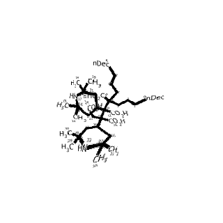 CCCCCCCCCCCCCC(CCCCCCCCCCCCC)(C(=O)O)C(C(=O)O)(C1CC(C)(C)NC(C)(C)C1)C(CC(=O)O)(C(=O)O)C1CC(C)(C)NC(C)(C)C1